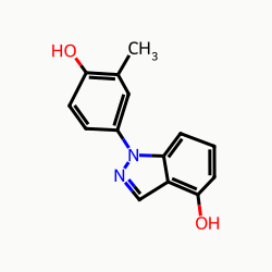 Cc1cc(-n2ncc3c(O)cccc32)ccc1O